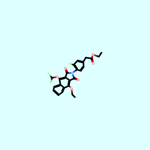 CCOC(=O)Cc1ccc(N2C(=O)c3c(c(OC(F)F)c4ccccc4c3OCC)C2=O)c(F)c1